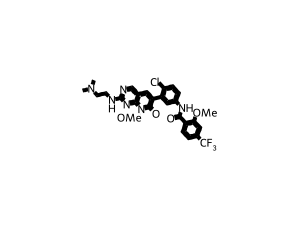 COc1cc(C(F)(F)F)ccc1C(=O)Nc1ccc(Cl)c(-c2cc3cnc(NCCN(C)C)nc3n(OC)c2=O)c1